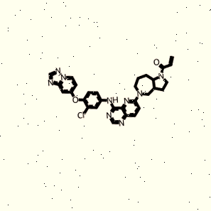 C=CC(=O)N1CCC2CN(c3ccc4ncnc(Nc5ccc(Oc6ccn7ncnc7c6)c(Cl)c5)c4n3)CCCC21